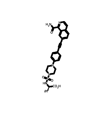 CC(C)[C@@H](NS(=O)(=O)N1CCN(c2ccc(C#Cc3ccc4ccnc(C(N)=O)c4c3)cc2)CC1)C(=O)O